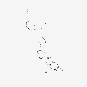 Cc1c(Nc2nc(C(F)F)nc3cc(CN4CCCC4)cnc23)cccc1-c1cccc(-c2nc3cc(C=O)cc(C#N)c3o2)c1C